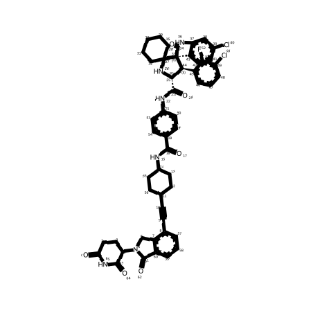 O=C1CCC(N2Cc3c(C#CC4CCC(NC(=O)c5ccc(NC(=O)[C@@H]6NC7(CCCCC7)[C@@]7(C(=O)Nc8cc(Cl)ccc87)[C@H]6c6cccc(Cl)c6F)cc5)CC4)cccc3C2=O)C(=O)N1